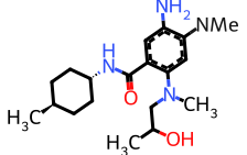 CNc1cc(N(C)CC(C)O)c(C(=O)N[C@H]2CC[C@H](C)CC2)cc1N